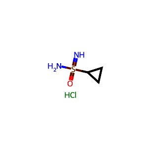 Cl.N=S(N)(=O)C1CC1